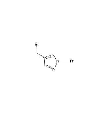 CC(C)n1cc(CBr)cn1